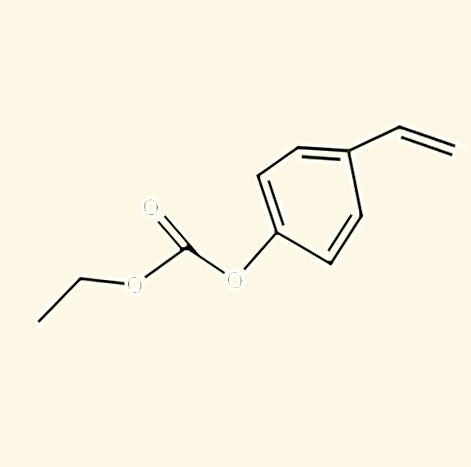 [CH]=Cc1ccc(OC(=O)OCC)cc1